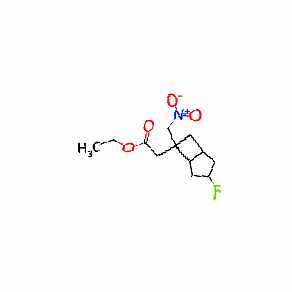 CCOC(=O)CC1(C[N+](=O)[O-])CC2CC(F)CC21